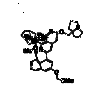 COCOc1cc(-c2cc3cc(OCC45CCCN4CCC5)ncc3c(N3CC4CCC(C3)N4C(=O)OC(C)(C)C)n2)c2c(C#C[Si](C(C)C)(C(C)C)C(C)C)cccc2c1